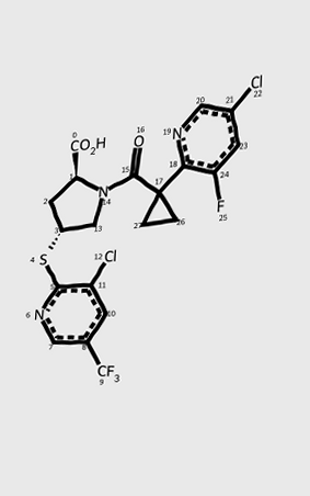 O=C(O)[C@@H]1C[C@@H](Sc2ncc(C(F)(F)F)cc2Cl)CN1C(=O)C1(c2ncc(Cl)cc2F)CC1